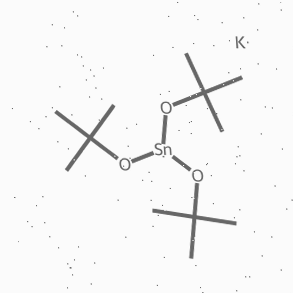 CC(C)(C)[O][Sn]([O]C(C)(C)C)[O]C(C)(C)C.[K]